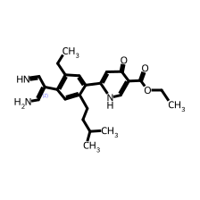 CCOC(=O)c1c[nH]c(-c2cc(CC)c(/C(C=N)=C/N)cc2CCC(C)C)cc1=O